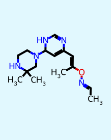 C/C=N/O/C(C)=C/C1=CC(N2CCNC(C)(C)C2)NC=N1